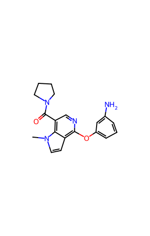 Cn1ccc2c(Oc3cccc(N)c3)ncc(C(=O)N3CCCC3)c21